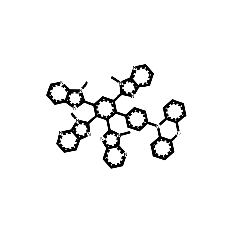 Cn1c(-c2cc(-c3nc4cccnc4n3C)c(-c3nc4cccnc4n3C)c(-c3nc4cccnc4n3C)c2-c2ccc(N3c4ccccc4Oc4ccccc43)cc2)nc2cccnc21